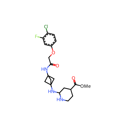 COC(=O)C1CCNC(NC23CC(NC(=O)COc4ccc(Cl)c(F)c4)(C2)C3)C1